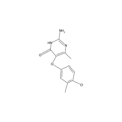 Cc1cc(Oc2c(C)nc(N)[nH]c2=O)ccc1Cl